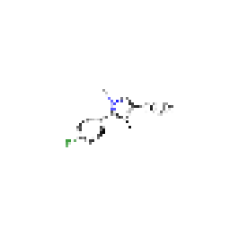 CCOC(=O)c1cn(C)c(-c2ccc(F)cc2)c1C